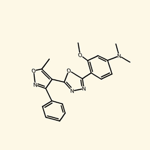 COc1cc(N(C)C)ccc1-c1nnc(-c2c(-c3ccccc3)noc2C)o1